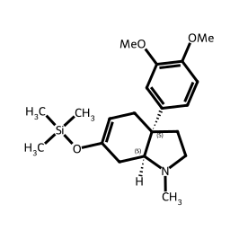 COc1ccc([C@@]23CC=C(O[Si](C)(C)C)C[C@@H]2N(C)CC3)cc1OC